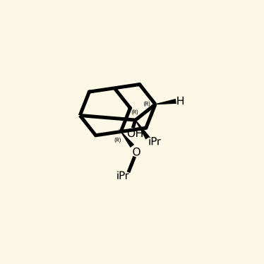 CC(C)O[C@]12CC3CC(C1)[C@](O)(C(C)C)[C@H](C3)C2